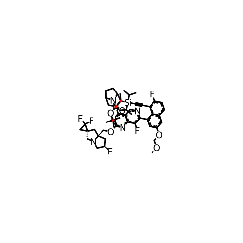 COCOc1cc(-c2ncc3c(N4CC5CCC(C4)N5C(=O)OC(C)(C)C)nc(OC[C@@]45C[C@@H](F)CN4C[C@@]4(CC4(F)F)C5)nc3c2F)c2c(C#C[Si](C(C)C)(C(C)C)C(C)C)c(F)ccc2c1